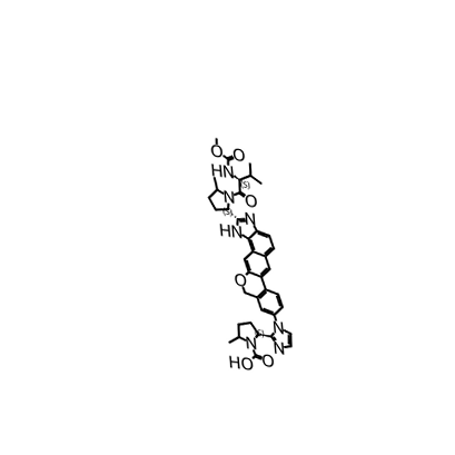 COC(=O)N[C@H](C(=O)N1C(C)CC[C@H]1c1nc2ccc3cc4c(cc3c2[nH]1)OCc1cc(-n2ccnc2[C@@H]2CCC(C)N2C(=O)O)ccc1-4)C(C)C